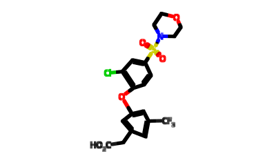 O=C(O)Cc1cc(Oc2ccc(S(=O)(=O)N3CCOCC3)cc2Cl)cc(C(F)(F)F)c1